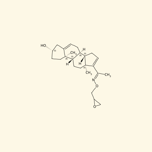 CC(=NOCC1CO1)C1=CC[C@H]2[C@@H]3CC=C4C[C@@H](O)CC[C@]4(C)[C@H]3CC[C@]12C